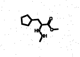 CNNC(CC1CCCC1)C(=O)OC